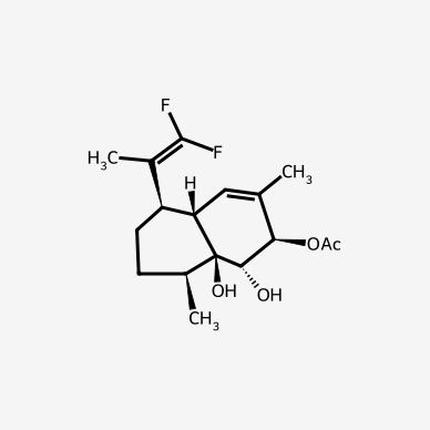 CC(=O)O[C@@H]1C(C)=C[C@H]2[C@H](C(C)=C(F)F)CC[C@H](C)[C@@]2(O)[C@H]1O